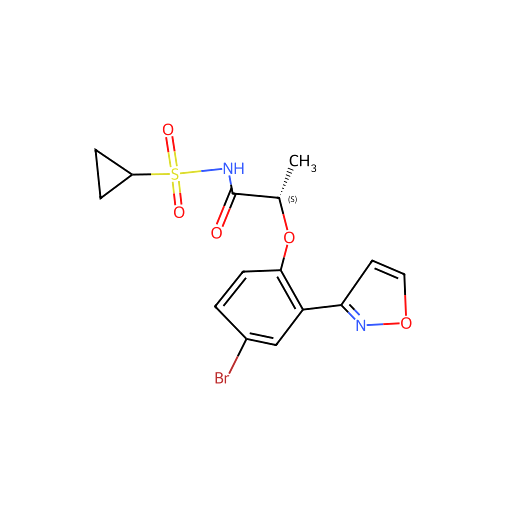 C[C@H](Oc1ccc(Br)cc1-c1ccon1)C(=O)NS(=O)(=O)C1CC1